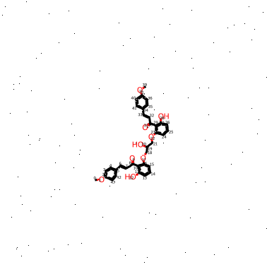 COc1ccc(/C=C/C(=O)c2c(O)cccc2OCC(O)COc2cccc(O)c2C(=O)/C=C/c2ccc(OC)cc2)cc1